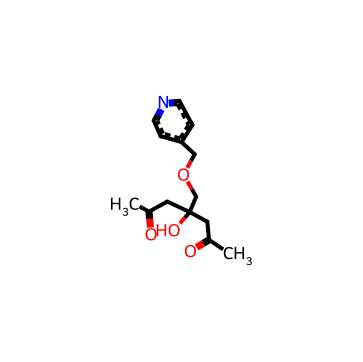 CC(=O)CC(O)(COCc1ccncc1)CC(C)=O